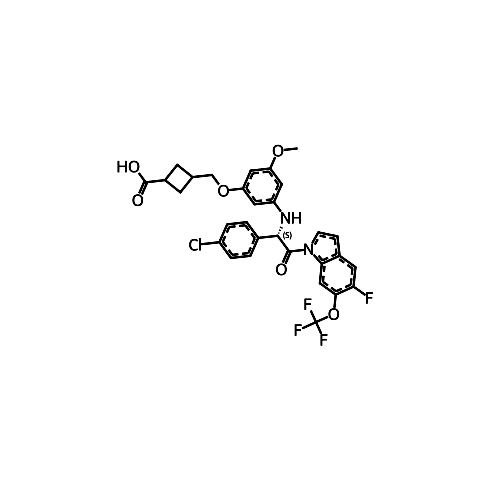 COc1cc(N[C@H](C(=O)n2ccc3cc(F)c(OC(F)(F)F)cc32)c2ccc(Cl)cc2)cc(OCC2CC(C(=O)O)C2)c1